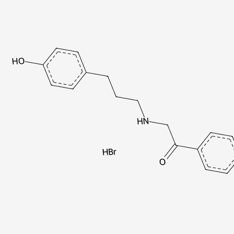 Br.O=C(CNCCCc1ccc(O)cc1)c1ccccc1